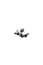 COC[C@@H]1C[C@@H](N2Cc3ccc(-n4cc(C#N)cn4)nc3C2=O)CN1.O=C(O)C(F)(F)F